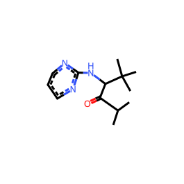 CC(C)C(=O)C(Nc1ncccn1)C(C)(C)C